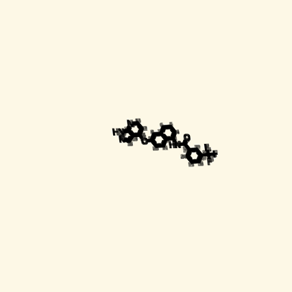 O=C(Nc1cccc2cc(Oc3ccnc4[nH]ncc34)ccc12)c1cccc(C(F)(F)F)c1